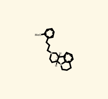 COc1ccccc1CCCN1CC[C@@H]2[C@H](C1)c1cccc3c1N2CCC3